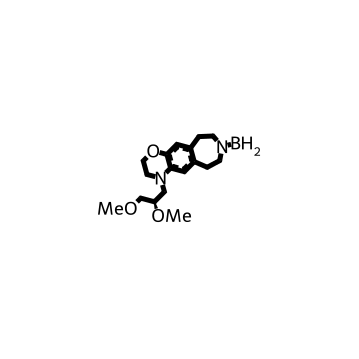 BN1CCc2cc3c(cc2CC1)N(C[C@H](COC)OC)CCO3